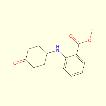 COC(=O)c1ccccc1NC1CCC(=O)CC1